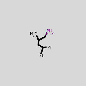 CCC(CC(C)CP)C(C)C